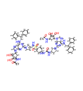 CCC(=O)N[C@H]1C[C@@H](n2cnc3c(NCC(c4ccccc4)c4ccccc4)nc(N4CCC(NC(=O)Nc5ccc(S(=O)(=O)N[C@@H]6CCN(c7nc(NCC(c8ccccc8)c8ccccc8)c8ncn([C@H]9C[C@@H](NC(=O)CC)[C@@H](O)[C@H]9O)c8n7)C6)cc5)C4)nc32)[C@@H](O)[C@H]1O